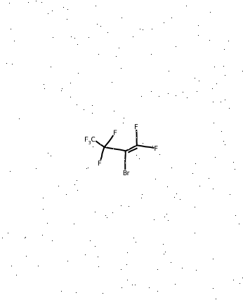 FC(F)=C(Br)C(F)(F)C(F)(F)F